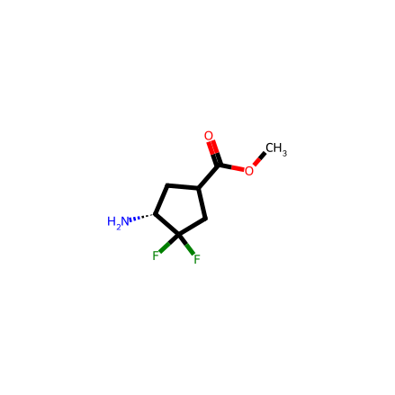 COC(=O)C1C[C@@H](N)C(F)(F)C1